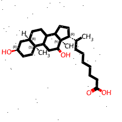 CC(CCCCCCC(=O)O)[C@H]1CCC2C3CC[C@@H]4C[C@H](O)CC[C@]4(C)C3CC(O)[C@@]21C